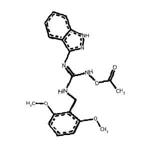 COc1cccc(OC)c1CNC(=Nc1n[nH]c2ccccc12)NOC(C)=O